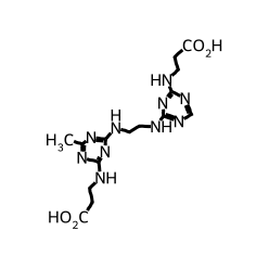 Cc1nc(NCCNc2ncnc(NCCC(=O)O)n2)nc(NCCC(=O)O)n1